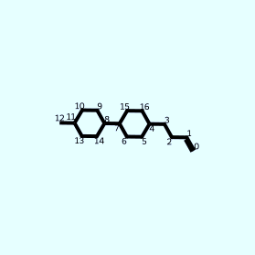 C=CCCC1CCC(C2CCC(C)CC2)CC1